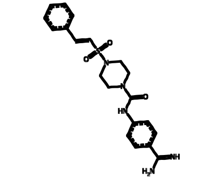 N=C(N)c1ccc(NC(=O)N2CCN(S(=O)(=O)/C=C/c3ccccc3)CC2)cc1